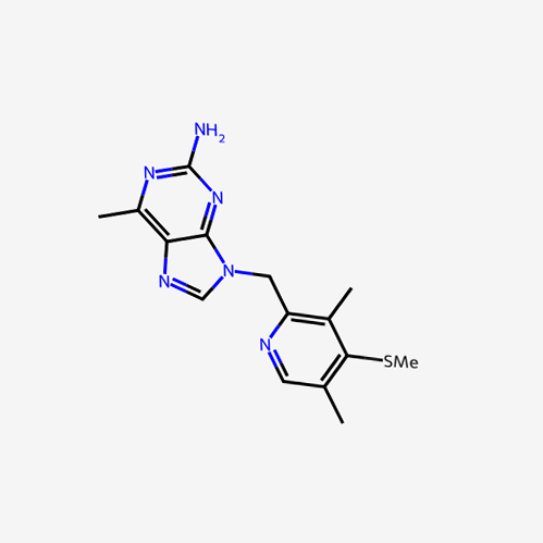 CSc1c(C)cnc(Cn2cnc3c(C)nc(N)nc32)c1C